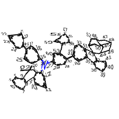 CC1(C)c2ccccc2-c2cccc(N(c3ccc(-c4ccccc4)cc3)c3ccc(-c4ccc5c(c4)-c4ccccc4C54C5CC6CC(C5)CC4C6)c(-c4ccccc4)c3)c21